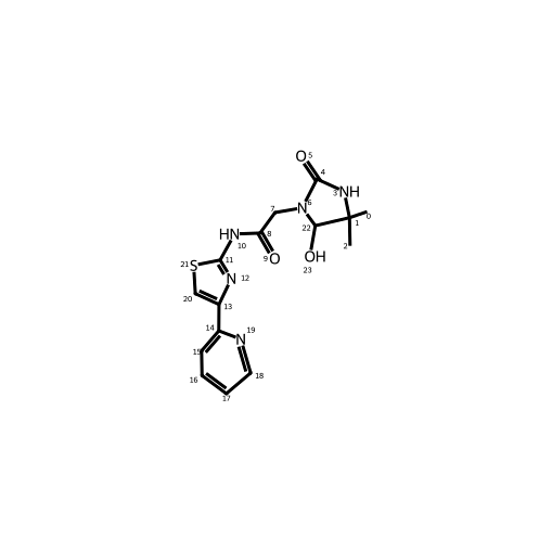 CC1(C)NC(=O)N(CC(=O)Nc2nc(-c3ccccn3)cs2)C1O